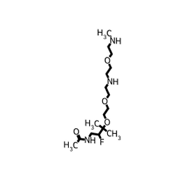 CNCCOCCNCCOCCOC(C)(C)C(F)CNC(C)=O